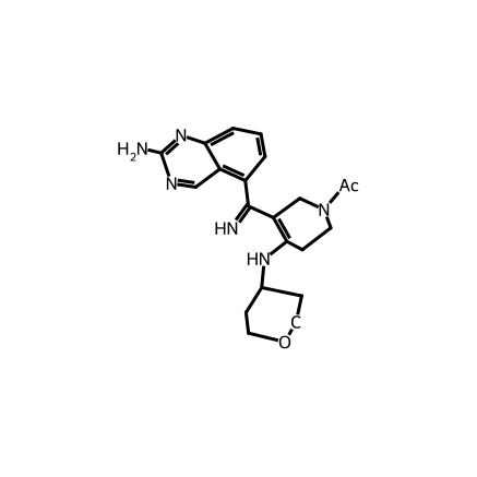 CC(=O)N1CCC(NC2CCOCC2)=C(C(=N)c2cccc3nc(N)ncc23)C1